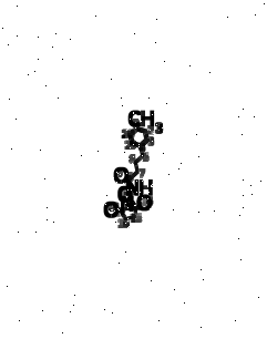 Cc1ccc(CCCC(=O)NON2C(=O)CCC2=O)cc1